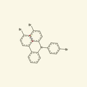 Brc1ccc(-c2ccccc2N(c2ccc(Br)cc2)c2ccc(Br)cc2)cc1